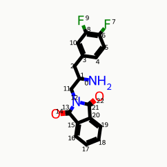 NC(Cc1ccc(F)c(F)c1)CN1C(=O)c2ccccc2C1=O